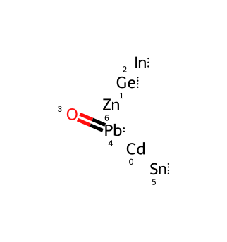 [Cd].[Ge].[In].[O]=[Pb].[Sn].[Zn]